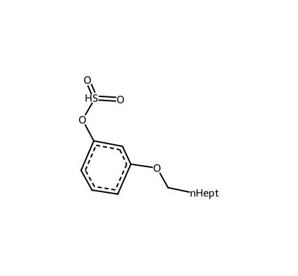 CCCCCCCCOc1cccc(O[SH](=O)=O)c1